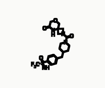 N=[S@@](=O)(c1ccc(CC2CCN(C(=O)N3CC4(COCC(=O)N4)C3)CC2)cc1)C(F)(F)F